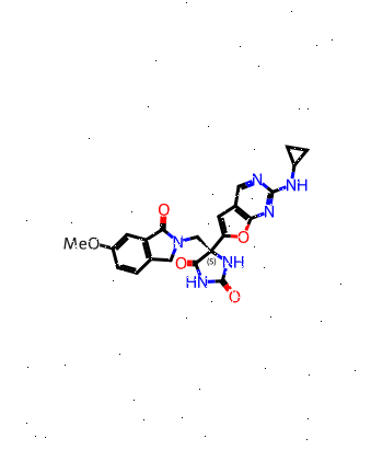 COc1ccc2c(c1)C(=O)N(C[C@@]1(c3cc4cnc(NC5CC5)nc4o3)NC(=O)NC1=O)C2